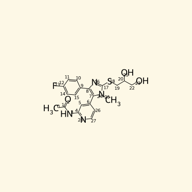 CC(=O)Nc1cc(-c2c(-c3ccc(F)cc3)nc(SCC(O)CO)n2C)ccn1